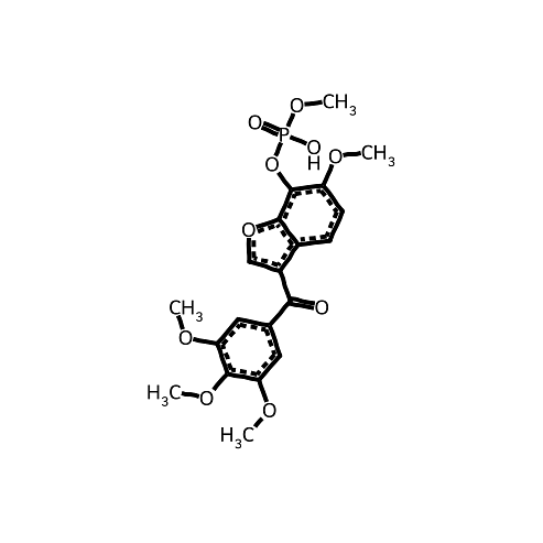 COc1cc(C(=O)c2coc3c(OP(=O)(O)OC)c(OC)ccc23)cc(OC)c1OC